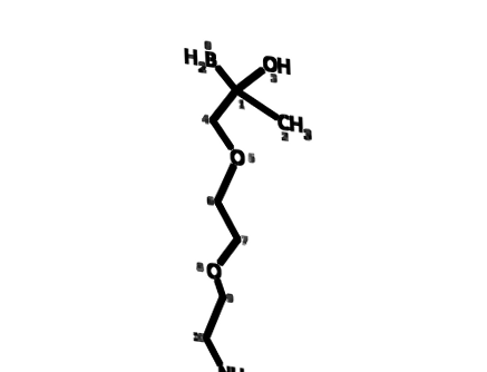 BC(C)(O)COCCOCCN